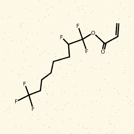 C=CC(=O)OC(F)(F)C(F)CCCCCC(F)(F)F